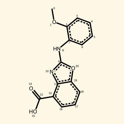 COc1ccccc1Nc1nc2c(C(=O)O)cccc2o1